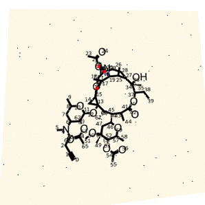 C#CCCN(C)C1CC(C)OC(OC23CC24C[C@@H](C)/C(=N\OC(C)=O)C(C)C(CCC(=C)CO4)[C@](C)(O)C(CC)OC(=O)C(C)[C@@H](C2C[C@@](C)(OC)[C@@H](OC(C)=O)C(C)O2)[C@@H]3C)[C@@H]1OC(C)=O